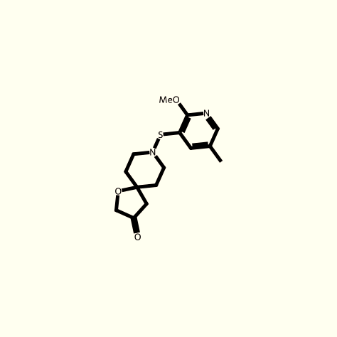 COc1ncc(C)cc1SN1CCC2(CC1)CC(=O)CO2